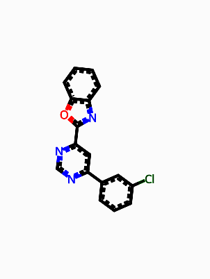 Clc1cccc(-c2cc(-c3nc4ccccc4o3)ncn2)c1